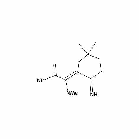 C=C(C#N)/C(NC)=C1\CC(C)(C)CCC1=N